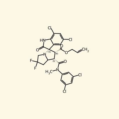 C=CCOC(=O)[C@@H]1[C@H](C(=O)N(C)c2cc(Cl)cc(Cl)c2)C2CC(F)(F)CN2[C@@]12C(=O)Nc1c(Cl)cc(Cl)cc12